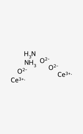 N.N.[Ce+3].[Ce+3].[O-2].[O-2].[O-2]